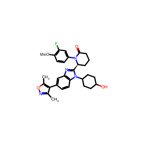 COc1ccc(N2C(=O)CCC[C@H]2c2nc3cc(-c4c(C)noc4C)ccc3n2C2CCC(O)CC2)cc1F